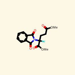 COC(=O)CCC(F)(C(=O)OC)N1C(=O)c2ccccc2C1=O